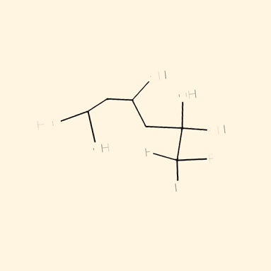 CC(C)CC(C)CC(C)(O)C(F)(F)F